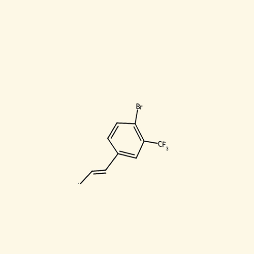 [CH2]C=Cc1ccc(Br)c(C(F)(F)F)c1